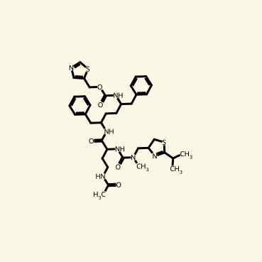 CC(=O)NCCC(NC(=O)N(C)CC1CSC(C(C)C)=N1)C(=O)NC(CCC(Cc1ccccc1)NC(=O)OCc1cncs1)Cc1ccccc1